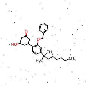 CCCCCCC(C)(C)c1ccc(C2CC(=O)CC(O)C2)c(OCc2ccccc2)c1